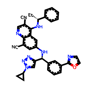 CC[C@@H](Nc1c(C#N)cnc2c(C#N)cc(N[C@@H](c3cccc(-c4ncco4)c3)c3cn(C4CC4)nn3)cc12)c1ccccc1